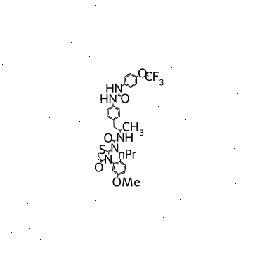 CCCc1ccc(OC)cc1N1C(=O)CS/C1=N\C(=O)NC(C)Cc1ccc(NC(=O)Nc2ccc(OC(F)(F)F)cc2)cc1